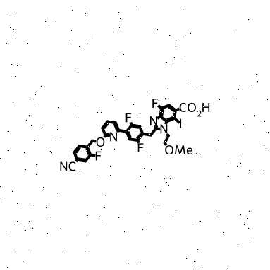 COCCn1c(Cc2cc(F)c(-c3cccc(OCc4ccc(C#N)cc4F)n3)cc2F)nc2c(F)cc(C(=O)O)c(I)c21